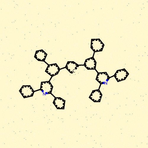 c1ccc(-c2cc(-c3ccc(-c4cc(-c5ccccc5)cc(-c5cc(-c6ccccc6)nc(-c6ccccc6)c5)c4)cc3)cc(-c3cc(-c4ccccc4)nc(-c4ccccc4)c3)c2)cc1